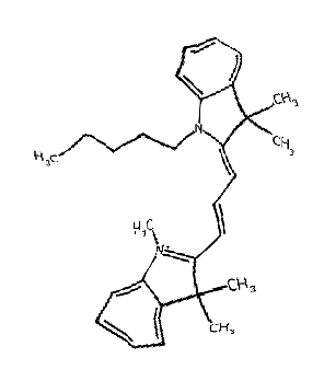 CCCCCN1/C(=C\C=C\C2=[N+](C)c3ccccc3C2(C)C)C(C)(C)c2ccccc21